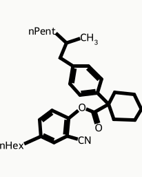 CCCCCCc1ccc(OC(=O)C2(c3ccc(CC(C)CCCCC)cc3)CCCCC2)c(C#N)c1